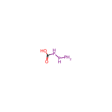 O=C(O)PPP